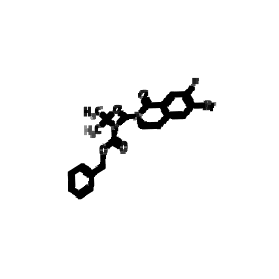 CC1(C)OC(n2ccc3cc(Br)c(F)cc3c2=O)N1C(=O)OCc1ccccc1